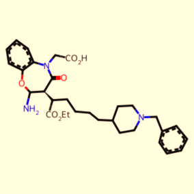 CCOC(=O)C(CCCCC1CCN(Cc2ccccc2)CC1)[C@@H]1C(=O)N(CC(=O)O)c2ccccc2OC1N